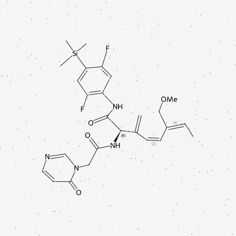 C=C(/C=C\C(=C/C)COC)[C@@H](NC(=O)Cn1cnccc1=O)C(=O)Nc1cc(F)c([Si](C)(C)C)cc1F